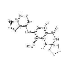 CN1n2c(c(Cl)cc(Nc3ncnc4[nH]ccc34)c2=O)C(=O)NC12CCCC2.Cl